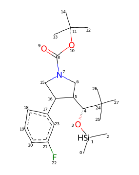 C[SiH](C)O[C@H](C1CN(C(=O)OC(C)(C)C)CC1c1cccc(F)c1)C(C)(C)C